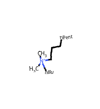 CCCCCCCC[N+](C)(C)CCCC